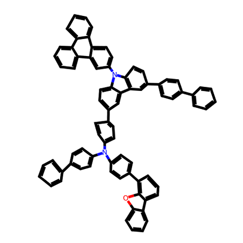 c1ccc(-c2ccc(-c3ccc4c(c3)c3cc(-c5ccc(N(c6ccc(-c7ccccc7)cc6)c6ccc(-c7cccc8c7oc7ccccc78)cc6)cc5)ccc3n4-c3ccc4c5ccccc5c5ccccc5c4c3)cc2)cc1